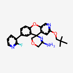 CC(C)(C)COc1cc2c(cn1)Oc1ccc(-c3cccnc3F)cc1C21COCC(N)=N1